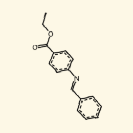 CCOC(=O)c1ccc(N=Cc2ccccc2)cc1